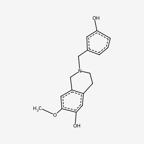 COc1cc2c(cc1O)CCN(Cc1cccc(O)c1)C2